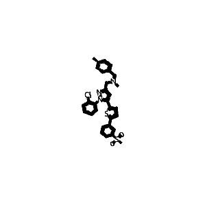 Cc1ccc(CN(C)Cc2cc(-c3ccc(-c4cccc(S(C)(=O)=O)c4)s3)n(-c3ccccc3Cl)n2)cc1